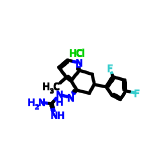 Cc1ccnc2c1/C(=N\NC(=N)N)CC(c1ccc(F)cc1F)C2.Cl